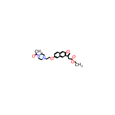 CCOC(=O)Cc1coc2cc3ccc(OCCN4CCN(C(C)=O)CC4)cc3cc12